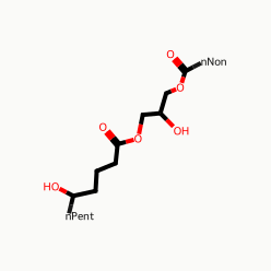 CCCCCCCCCC(=O)OCC(O)COC(=O)CCCC(O)CCCCC